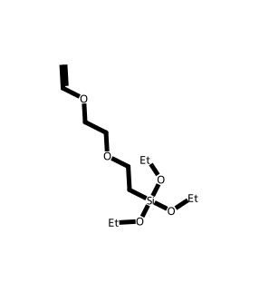 C=COCCOCC[Si](OCC)(OCC)OCC